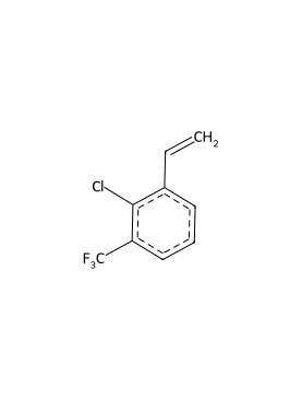 C=Cc1cccc(C(F)(F)F)c1Cl